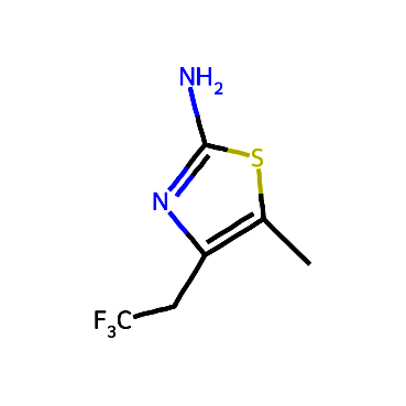 Cc1sc(N)nc1CC(F)(F)F